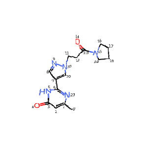 Cc1cc(=O)[nH]c(-c2cnn(CCC(=O)N3CCCC3)c2)n1